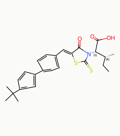 CC[C@@H](C)[C@@H](C(=O)O)N1C(=O)C(=Cc2ccc(-c3ccc(C(C)(C)C)cc3)cc2)SC1=S